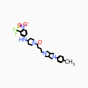 Cc1ccc(N2CC3CN(CCCC(=O)N4CCC(Nc5ccc([N+](=O)[O-])c(C(F)(F)F)c5)CC4)CC3C2)cc1